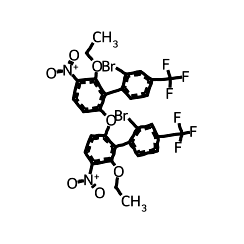 CCOc1c([N+](=O)[O-])ccc(Oc2ccc([N+](=O)[O-])c(OCC)c2-c2ccc(C(F)(F)F)cc2Br)c1-c1ccc(C(F)(F)F)cc1Br